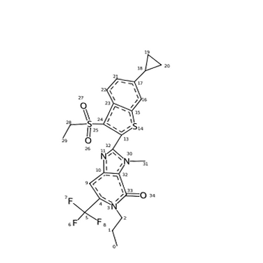 CCCn1c(C(F)(F)F)cc2nc(-c3sc4cc(C5CC5)ccc4c3S(=O)(=O)CC)n(C)c2c1=O